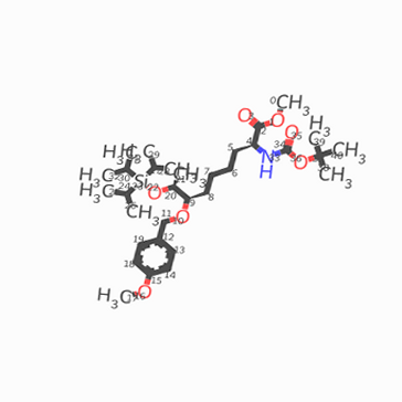 COC(=O)[C@H](CCCC[C@@H](OCc1ccc(OC)cc1)[C@H](C)O[Si](C(C)C)(C(C)C)C(C)C)NC(=O)OC(C)(C)C